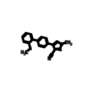 CSc1ccccc1-c1ccc(-c2cn(C)nc2C#N)cc1